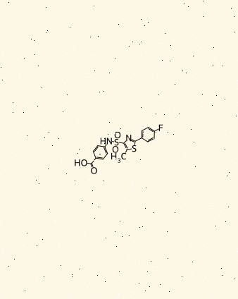 Cc1sc(-c2ccc(F)cc2)nc1S(=O)(=O)Nc1ccc(C(=O)O)cc1